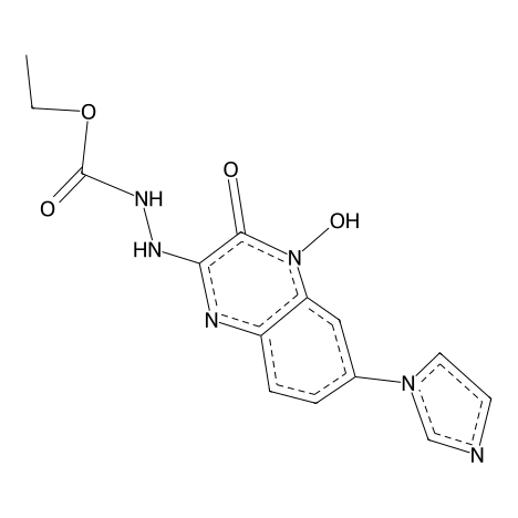 CCOC(=O)NNc1nc2ccc(-n3ccnc3)cc2n(O)c1=O